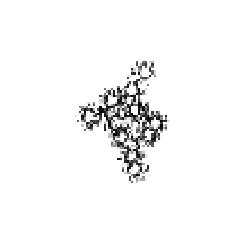 c1ccc(-c2ccc3sc4c(-c5cccc6c5c5ccccc5n6-c5ccccc5)nc(-c5cccc6ccc(-n7c8ccccc8c8cc9ccccc9cc87)cc56)nc4c3c2)cc1